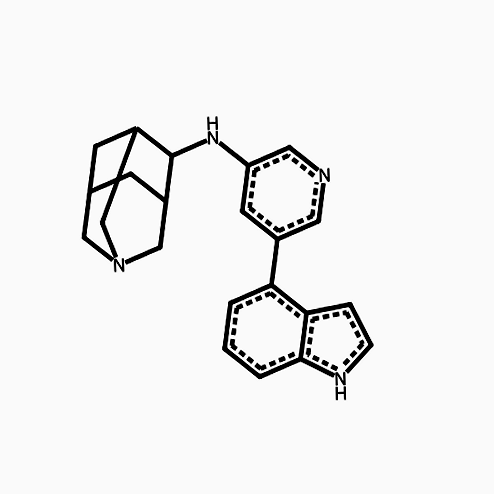 c1cc(-c2cncc(NC3C4CC5CC3CN(C5)C4)c2)c2cc[nH]c2c1